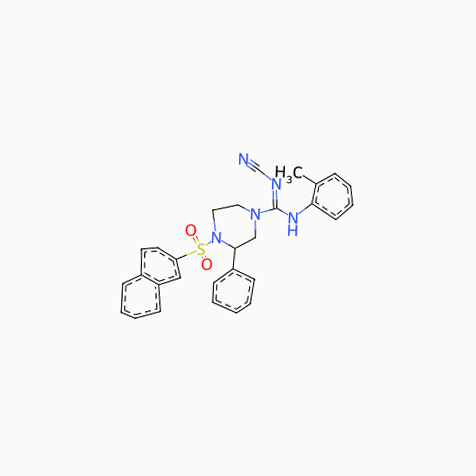 Cc1ccccc1N/C(=N/C#N)N1CCN(S(=O)(=O)c2ccc3ccccc3c2)C(c2ccccc2)C1